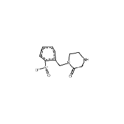 O=C1CNCCN1Cc1ccccc1[N+](=O)[O-]